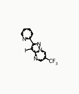 FC(F)(F)c1cnc2c(I)c(-c3ccccn3)nn2c1